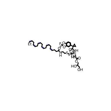 CC/C=C\C/C=C\C/C=C\C/C=C\C/C=C\C/C=C\CCC(=O)NCCSSC(C)(C)[C@@H](CNC(=O)OC[C@@H](O)CO)NC(=O)C1(c2ccc3c(c2)OC(F)(F)O3)CC1